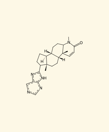 CN1C(=O)C=C[C@@]2(C)C1CC[C@@H]1[C@H]2CC[C@]2(C)C(c3nc4cncnc4[nH]3)CC[C@@H]12